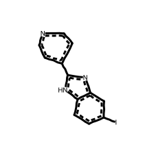 Ic1ccc2[nH]c(-c3ccncc3)nc2c1